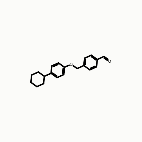 O=Cc1ccc(COc2ccc(C3CCCCC3)cc2)cc1